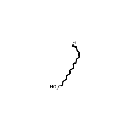 CCC=CC/C=C\CC=CCC=CCCCCC(=O)O